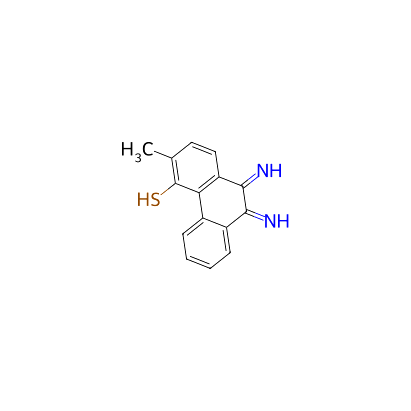 Cc1ccc2c(c1S)-c1ccccc1C(=N)C2=N